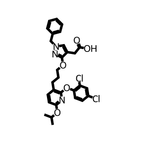 CC(C)Oc1ccc(CCCOc2nn(Cc3ccccc3)cc2CC(=O)O)c(Oc2ccc(Cl)cc2Cl)n1